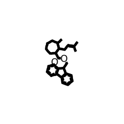 CC(C)=CCC1C(C)CCCCC1C(=O)OCC1c2ccccc2-c2ccccc21